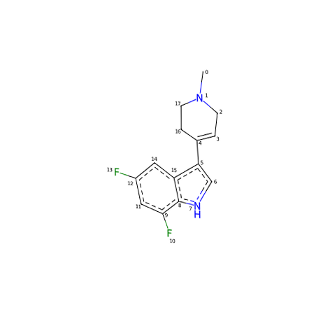 CN1CC=C(c2c[nH]c3c(F)cc(F)cc23)CC1